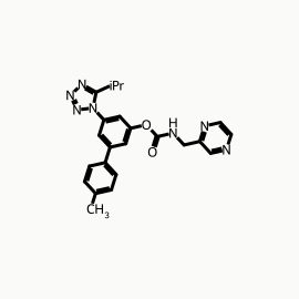 Cc1ccc(-c2cc(OC(=O)NCc3cnccn3)cc(-n3nnnc3C(C)C)c2)cc1